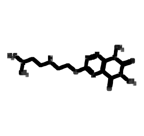 CN(C)CCNCCOc1nnc2c(n1)c(=O)n(C)c(=O)n2C